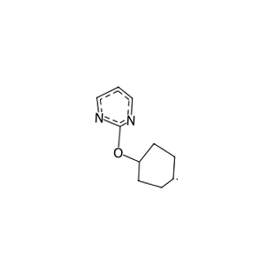 [CH]1CCC(Oc2ncccn2)CC1